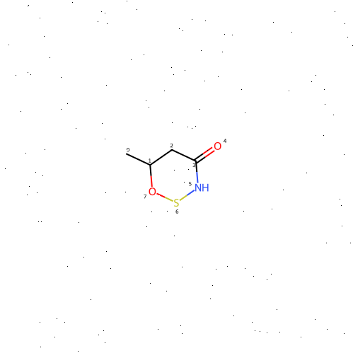 CC1CC(=O)NSO1